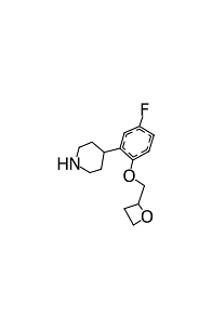 Fc1ccc(OCC2CCO2)c(C2CCNCC2)c1